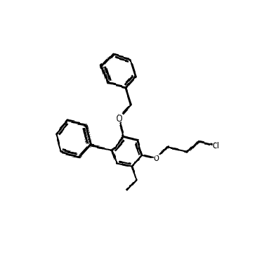 CCc1cc(-c2ccccc2)c(OCc2ccccc2)cc1OCCCCl